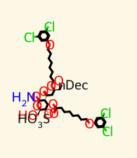 CCCCCCCCCCC[C@@H](CC(=O)[C@H]1C(ON)O[C@H](CO)[C@@H](OS(=O)(=O)O)[C@@H]1OC(=O)CCCCCCCOc1cc(Cl)cc(Cl)c1)OC(=O)CCCCCCCOc1cc(Cl)cc(Cl)c1